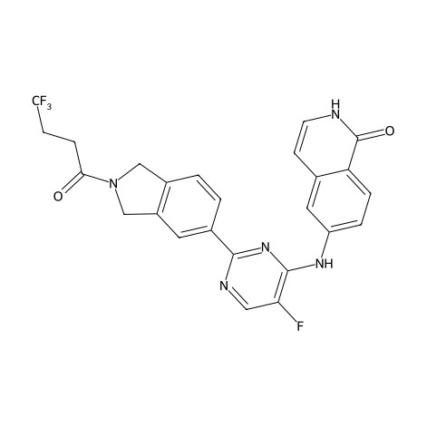 O=C(CCC(F)(F)F)N1Cc2ccc(-c3ncc(F)c(Nc4ccc5c(=O)[nH]ccc5c4)n3)cc2C1